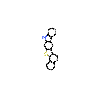 c1ccc2c(c1)ccc1c3cc4c(cc3sc21)[nH]c1ccccc14